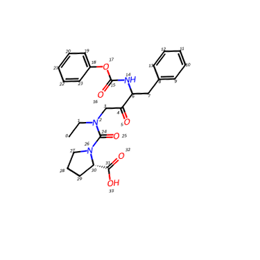 CCN(CC(=O)C(Cc1ccccc1)NC(=O)Oc1ccccc1)C(=O)N1CCC[C@H]1C(=O)O